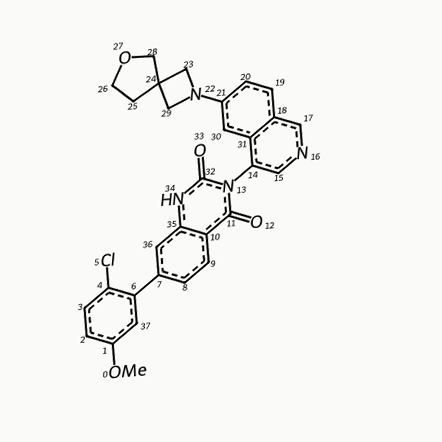 COc1ccc(Cl)c(-c2ccc3c(=O)n(-c4cncc5ccc(N6CC7(CCOC7)C6)cc45)c(=O)[nH]c3c2)c1